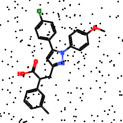 COc1ccc(-n2nc(CC(C(=O)O)c3cccc(C)c3)cc2-c2ccc(Cl)cc2)cc1